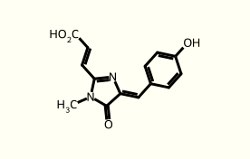 CN1C(=O)C(=Cc2ccc(O)cc2)N=C1C=CC(=O)O